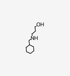 OCCCNCC1CCCCC1